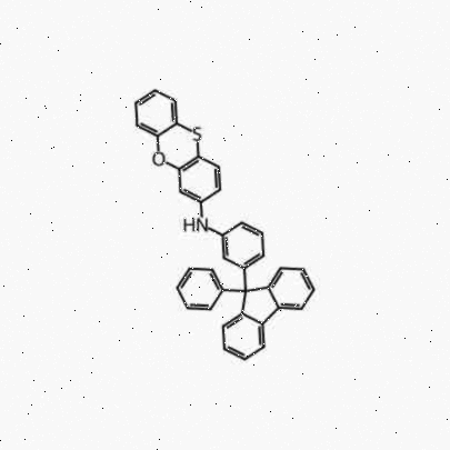 c1ccc(C2(c3cccc(Nc4ccc5c(c4)Oc4ccccc4S5)c3)c3ccccc3-c3ccccc32)cc1